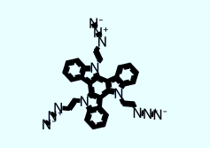 [N-]=[N+]=N/C=C/n1c2ccccc2c2c1c1c3ccccc3n(/C=C/N=[N+]=[N-])c1c1c3ccccc3n(/C=C/N=[N+]=[N-])c21